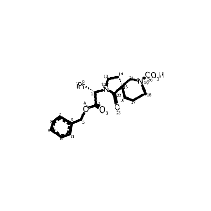 CC(C)[C@@H](C(=O)OCc1ccccc1)N1CC[C@]2(CCCN(C(=O)O)C2)C1=O